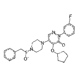 O=c1c(OC2CCCC2)c(N2CCN([S+]([O-])Cc3ccccc3)CC2)cnn1-c1cccc(F)c1